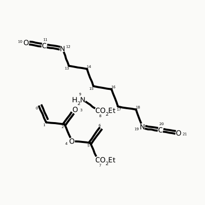 C=CC(=O)OC(=C)C(=O)OCC.CCOC(N)=O.O=C=NCCCCCCN=C=O